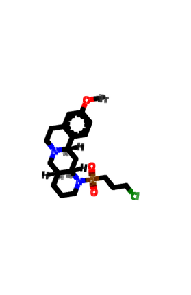 CC(C)Oc1ccc2c(c1)CCN1C[C@H]3CCCN(S(=O)(=O)CCCCl)[C@H]3C[C@@H]21